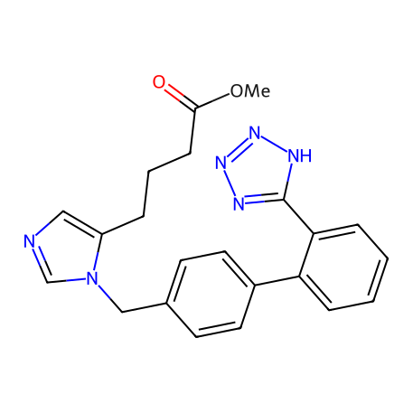 COC(=O)CCCc1cncn1Cc1ccc(-c2ccccc2-c2nnn[nH]2)cc1